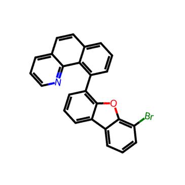 Brc1cccc2c1oc1c(-c3cccc4ccc5cccnc5c34)cccc12